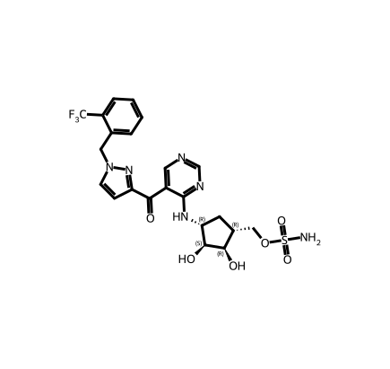 NS(=O)(=O)OC[C@H]1C[C@@H](Nc2ncncc2C(=O)c2ccn(Cc3ccccc3C(F)(F)F)n2)[C@H](O)[C@@H]1O